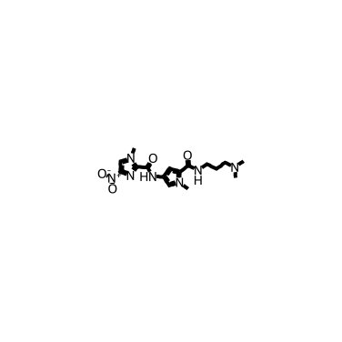 CN(C)CCCNC(=O)c1cc(NC(=O)c2nc([N+](=O)[O-])cn2C)cn1C